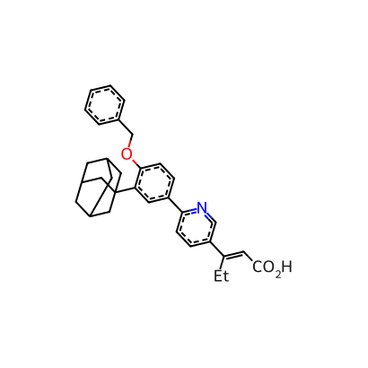 CC/C(=C\C(=O)O)c1ccc(-c2ccc(OCc3ccccc3)c(C34CC5CC(CC(C5)C3)C4)c2)nc1